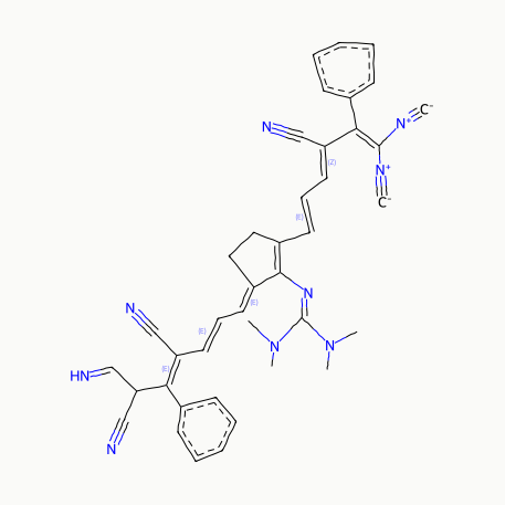 [C-]#[N+]C([N+]#[C-])=C(/C(C#N)=C/C=C/C1=C(N=C(N(C)C)N(C)C)C(=C/C=C/C(C#N)=C(\c2ccccc2)C(C#N)C=N)/CC1)c1ccccc1